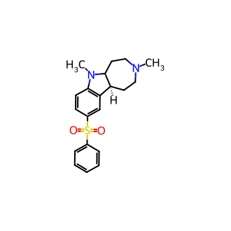 CN1CCC2[C@@H](CC1)c1cc(S(=O)(=O)c3ccccc3)ccc1N2C